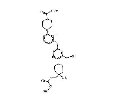 COC(=O)C1CCN(c2nccc(Sc3cnc(N4CCC(C)(CNC(=O)OC(C)(C)C)CC4)c(CO)n3)c2Cl)CC1